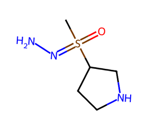 CS(=O)(=NN)C1CCNC1